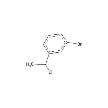 CC(Cl)c1cccc(Br)c1